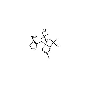 CC1=CCC(CC2=[C]([Ti+2])CC=C2)(OC(C)(C)C)C(C(C)(C)C)=C1.[Cl-].[Cl-]